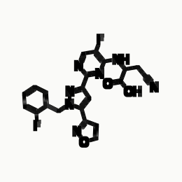 N#CCC(Nc1nc(-c2cc(-c3ccon3)n(Cc3ccccc3F)n2)ncc1F)C(=O)O